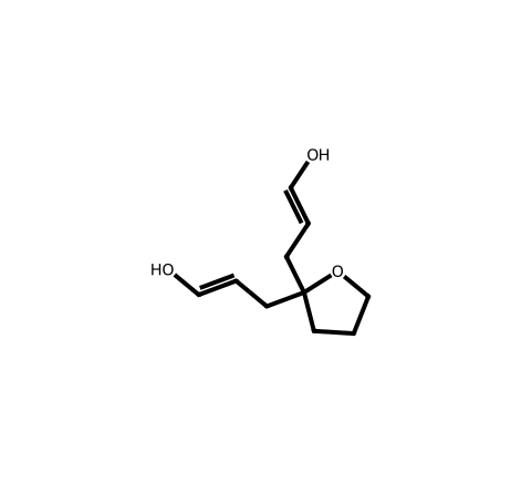 OC=CCC1(CC=CO)CCCO1